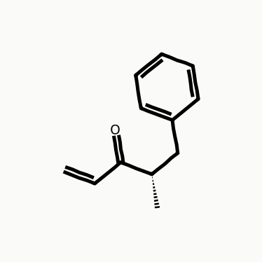 C=CC(=O)[C@@H](C)Cc1ccccc1